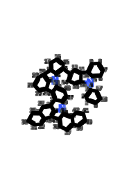 c1ccc(-n2c3ccccc3c3cc(-c4cccc5c6cccc7c8c9c%10cc%11ccccc%11c%11c%12ccc%13ccccc%13c%12n(c9ccc8n(c45)c67)c%10%11)ccc32)cc1